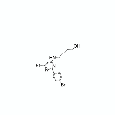 CCc1cc(NCCCCCO)nc(-c2ccc(Br)cc2)n1